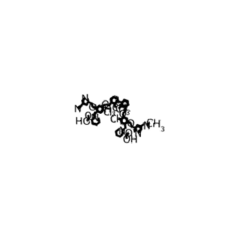 C/N=C/c1cncc(COc2cc(OCc3cccc(-c4cccc(COc5cc(OCc6cncc(C#N)c6)c(CN6CCCC[C@H]6C(=O)O)cc5Cl)c4C)c3C)c(Cl)cc2CN2CCCC[C@H]2C(=O)O)c1